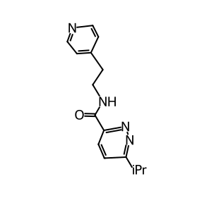 CC(C)c1ccc(C(=O)NCCc2ccncc2)nn1